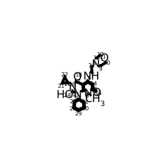 Cn1c2c(c(NCCN3CCOCC3)cc1=O)C(=O)N(C1CC1)C(O)N2c1ccccc1